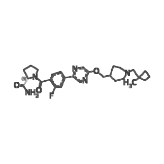 CC1(CN2CCC(COc3cnc(-c4ccc(C(=O)N5CCC[C@H]5C(N)=O)c(F)c4)cn3)CC2)CCC1